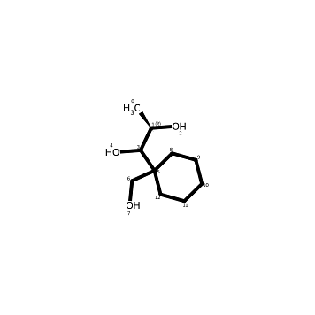 C[C@@H](O)C(O)C1(CO)CCCCC1